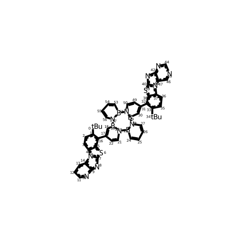 CC(C)(C)c1ccc2c(sc3nc4ncccc4n32)c1C1=CB2N(C=C1)B1C=CC=CN1B1C=C(c3c(C(C)(C)C)ccc4c3sc3nc5ncncc5n34)C=CN1B1C=CC=CN12